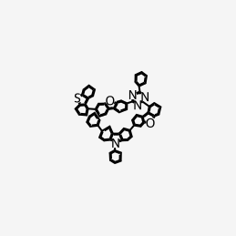 c1ccc(-c2ccc3c(c2)c2cc(-c4ccc5c(c4)oc4cccc(-c6nc(-c7ccccc7)nc(-c7ccc8c(c7)oc7cc(-c9cccc%10sc%11ccccc%11c9%10)ccc78)n6)c45)ccc2n3-c2ccccc2)cc1